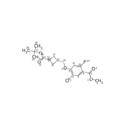 COC(=O)c1cc(Cl)c(OCC2CN(C(=O)OC(C)(C)C)C2)cc1F